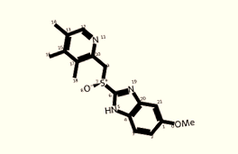 COc1ccc2[nH]c([S@@+]([O-])Cc3ncc(C)c(C)c3C)nc2c1